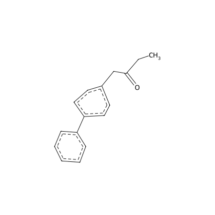 CCC(=O)Cc1ccc(-c2ccccc2)cc1